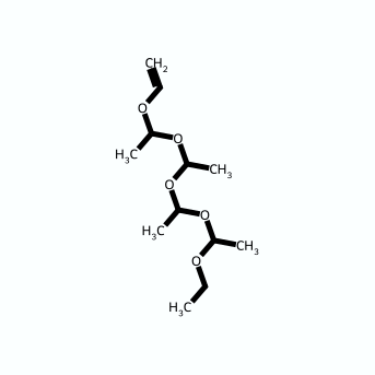 C=COC(C)OC(C)OC(C)OC(C)OCC